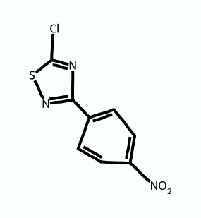 O=[N+]([O-])c1ccc(-c2nsc(Cl)n2)cc1